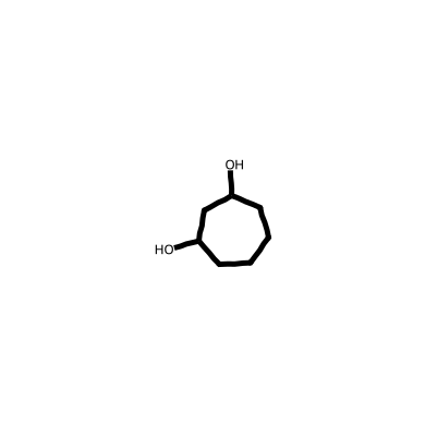 OC1CCCCC(O)C1